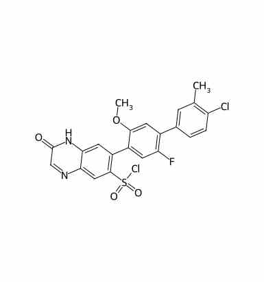 COc1cc(-c2ccc(Cl)c(C)c2)c(F)cc1-c1cc2[nH]c(=O)cnc2cc1S(=O)(=O)Cl